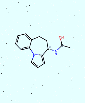 CB(O)N[C@H]1CCc2ccccc2-n2cccc21